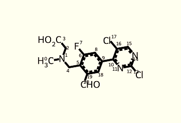 CN(CC(=O)O)Cc1c(F)cc(-c2nc(Cl)ncc2Cl)cc1C=O